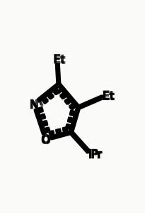 CCc1noc(C(C)C)c1CC